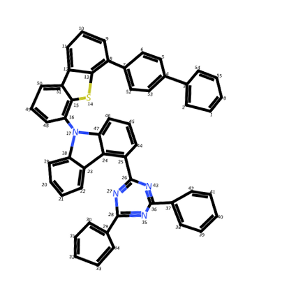 c1ccc(-c2ccc(-c3cccc4c3sc3c(-n5c6ccccc6c6c(-c7nc(-c8ccccc8)nc(-c8ccccc8)n7)cccc65)cccc34)cc2)cc1